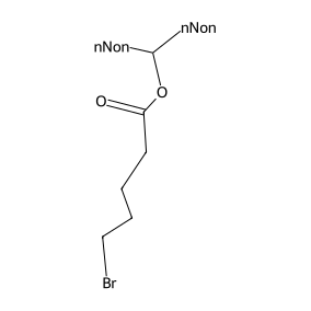 CCCCCCCCCC(CCCCCCCCC)OC(=O)CCCCBr